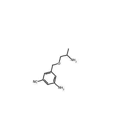 CC(N)COCc1cc(N)cc(C#N)c1